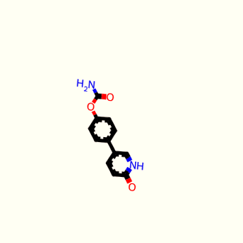 NC(=O)Oc1ccc(-c2ccc(=O)[nH]c2)cc1